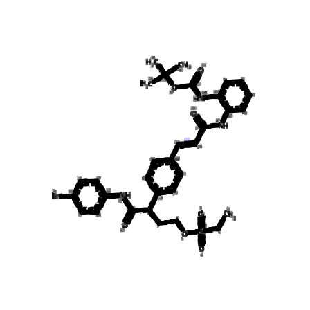 CCS(=O)(=O)OCCC(C(=O)Nc1ccc(Br)cc1)c1ccc(/C=C/C(=O)Nc2ccccc2NC(=O)OC(C)(C)C)cc1